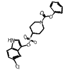 O=C(Oc1ccccc1)N1CCC(S(=O)(=O)Oc2c[nH]c3ccc(Cl)cc23)CC1